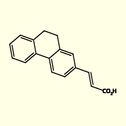 O=C(O)C=Cc1ccc2c(c1)CCc1ccccc1-2